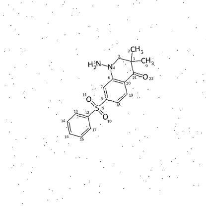 CC1(C)CN(N)c2cc(S(=O)(=O)c3ccccc3)ccc2C1=O